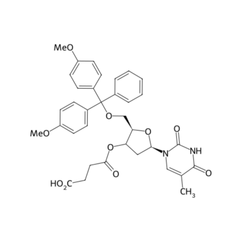 COc1ccc(C(OC[C@H]2O[C@@H](n3cc(C)c(=O)[nH]c3=O)CC2OC(=O)CCC(=O)O)(c2ccccc2)c2ccc(OC)cc2)cc1